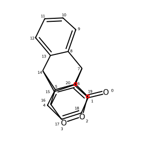 O=C1OOCC2=C1C1c3ccccc3C2c2ccccc21